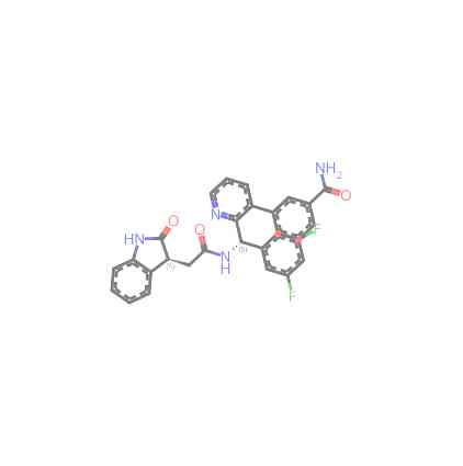 NC(=O)c1cccc(-c2cccnc2[C@@H](NC(=O)C[C@@H]2C(=O)Nc3ccccc32)c2cc(F)cc(F)c2)c1